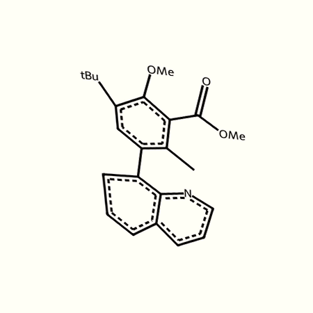 COC(=O)c1c(C)c(-c2cccc3cccnc23)cc(C(C)(C)C)c1OC